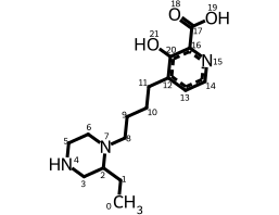 CCC1CNCCN1CCCCc1ccnc(C(=O)O)c1O